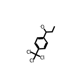 CCC([O])c1ccc(C(Cl)(Cl)Cl)cc1